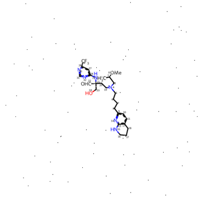 CO[C@H](C)CN(CCCCc1ccc2c(n1)NCCC2)CC[C@](C=O)(CO)Nc1cc(C(F)(F)F)ncn1